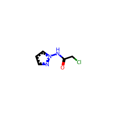 O=C(CCl)Nn1cccn1